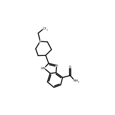 NC(=O)c1cccc2[nH]c(C3CCN(CC(F)(F)F)CC3)nc12